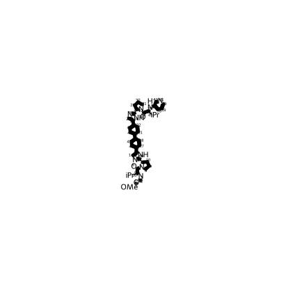 COO/C=N\[C@H](C(=O)N1CCC[C@H]1c1ncc(-c2ccc(-c3ccc(-c4cnc([C@@H]5CCCN5C(=O)[C@@H](Nc5cccnc5)C(C)C)[nH]4)cc3)cc2)[nH]1)C(C)C